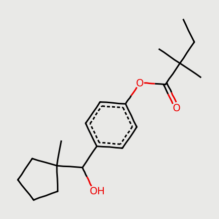 CCC(C)(C)C(=O)Oc1ccc(C(O)C2(C)CCCC2)cc1